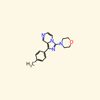 Cc1ccc(-c2nc(N3CCOCC3)n3ccncc23)cc1